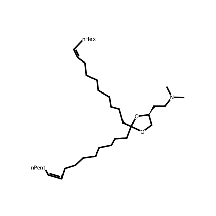 CCCCC/C=C\CCCCCCCCC1(CCCCCCCC/C=C\CCCCCC)OC[C@H](CCN(C)C)O1